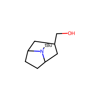 CC(C)(C)N1C2CCC1CC(CO)C2